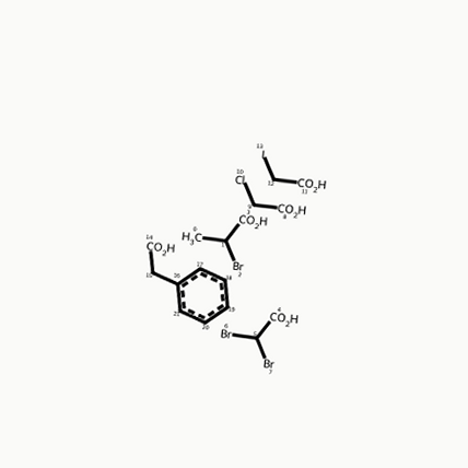 CC(Br)C(=O)O.O=C(O)C(Br)Br.O=C(O)CCl.O=C(O)CI.O=C(O)Cc1ccccc1